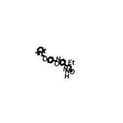 CCC1CC(=O)NN=C1c1ccc2nc(-c3ccc(OCCN4C(C)(C)CCCC4(C)C)cc3)oc2c1